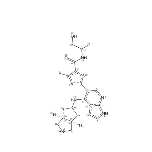 Cc1nc(-c2cnc3[nH]ccc3c2NC2C[C@H]3CNC[C@H]3C2)sc1C(=O)NC(C)CO